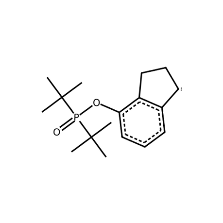 CC(C)(C)P(=O)(Oc1cccc2c1CC[C]2)C(C)(C)C